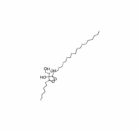 CCCCCCCCCCCCCCCCCCCC(=O)C(O)(C(=O)CCCCCCC)C(O)CO